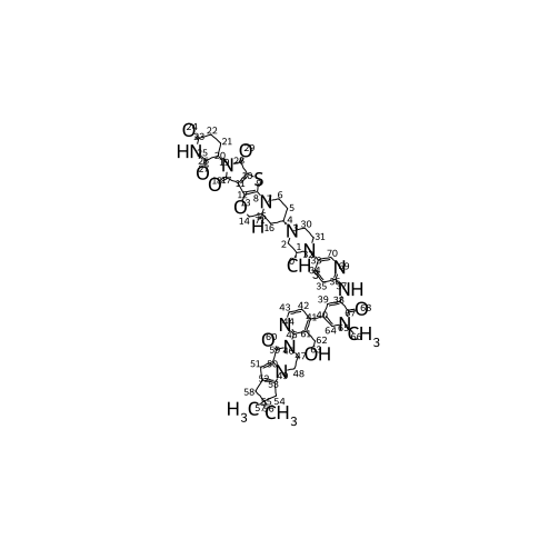 C[C@H]1CN([C@@H]2CCN3c4sc5c(c4OC[C@H]3C2)C(=O)N(C2CCC(=O)NC2=O)C5=O)CCN1c1ccc(Nc2cc(-c3ccnc(N4CCn5c(cc6c5CC(C)(C)C6)C4=O)c3CO)cn(C)c2=O)nc1